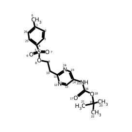 Cc1ccc(S(=O)(=O)OCCc2ncc(NC(=O)OC(C)(C)C)cn2)cc1